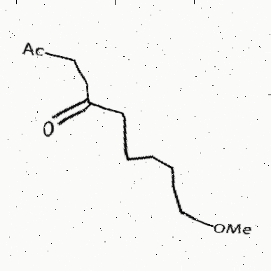 COCCCCC(=O)CC(C)=O